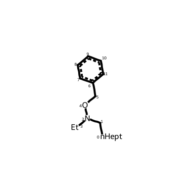 CC[CH]CCCCCN(CC)OCc1ccccc1